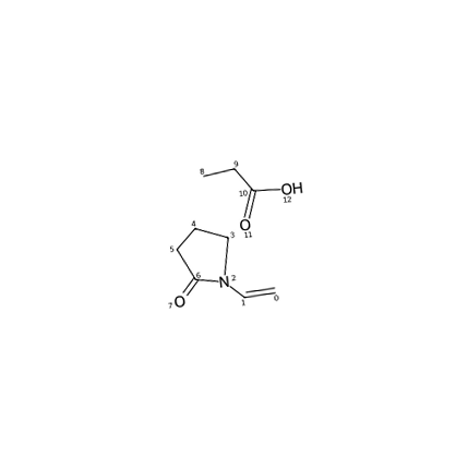 C=CN1CCCC1=O.CCC(=O)O